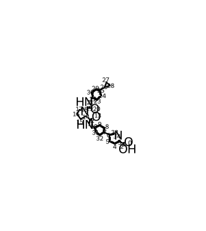 O=C(O)c1ccc(-c2ccc(NC(=O)[C@H]3CCCN3C(=O)Nc3ccc(C4CC4)cc3)cc2)cn1